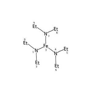 CC[N](CC)[Fe]([N](CC)CC)[N](CC)CC